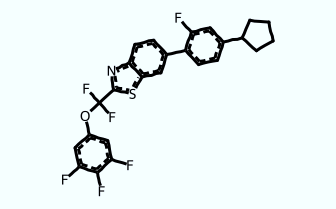 Fc1cc(C2CCCC2)ccc1-c1ccc2nc(C(F)(F)Oc3cc(F)c(F)c(F)c3)sc2c1